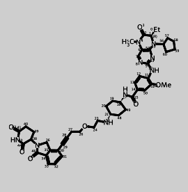 CC[C@@H]1C(=O)N(C)c2cnc(Nc3ccc(C(=O)N[C@H]4CC[C@@H](NCCOCCC#Cc5cccc6c5CN(C5CCC(=O)NC5=O)C6=O)CC4)cc3OC)nc2N1C1CCCC1